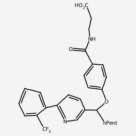 CCCCCC(Oc1ccc(C(=O)NCCC(=O)O)cc1)c1ccc(-c2ccccc2C(F)(F)F)nc1